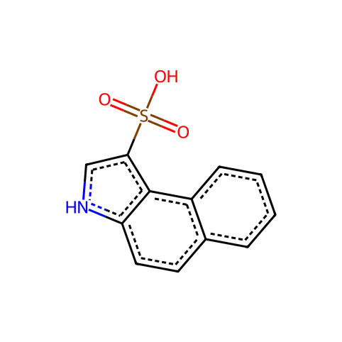 O=S(=O)(O)c1c[nH]c2ccc3ccccc3c12